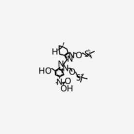 CN(C(=O)O)c1cc(CO)c2nc(-c3nn(COCC[Si](C)(C)C)c4c3C[C@@H]3C[C@]3(C)C4)n(COCC[Si](C)(C)C)c2c1